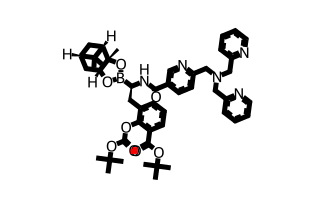 CC(C)(C)OC(=O)Oc1c(C[C@H](NC(=O)c2ccc(CN(Cc3ccccn3)Cc3ccccn3)nc2)B2O[C@@H]3C[C@@H]4C[C@@H](C4(C)C)[C@]3(C)O2)cccc1C(=O)OC(C)(C)C